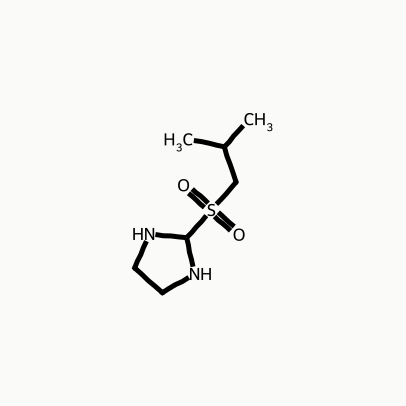 CC(C)CS(=O)(=O)C1NCCN1